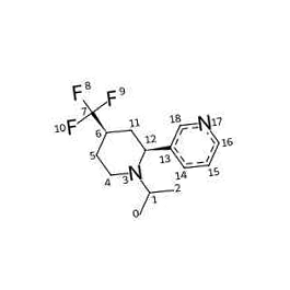 CC(C)N1CC[C@@H](C(F)(F)F)C[C@H]1c1cccnc1